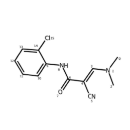 CN(C)C=C(C#N)C(=O)Nc1ccccc1Cl